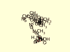 Cc1ncsc1-c1ccc([C@H](C)NC(=O)[C@@H]2C[C@@H](OC(=O)OC(C)C(C)(C)SS(C)(=O)=O)CN2C(=O)C(C2=CC(OCCN3CCN(CCOc4cc(N5C6CCC5CN(c5cc(-c7ccccc7O)nnc5N)C6)ccn4)[C@H](C)C3)=NC2)C(C)C)cc1